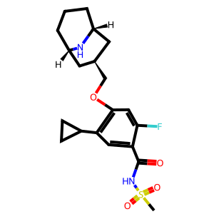 CS(=O)(=O)NC(=O)c1cc(C2CC2)c(OC[C@@H]2C[C@H]3CCC[C@@H](C2)N3)cc1F